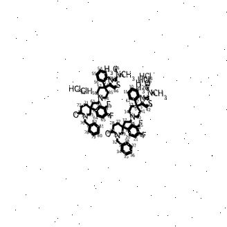 CN(C)c1nc(C2(c3ccccc3)CCN(CCC3(c4ccc(F)c(F)c4)CCC(=O)N(Cc4ccccc4)C3)CC2)cs1.CN(C)c1nc(C2(c3ccccc3)CCN(CCC3(c4ccc(F)c(F)c4)CCC(=O)N(Cc4ccccc4)C3)CC2)cs1.Cl.Cl.Cl.Cl.O